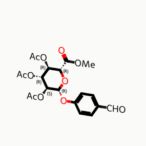 COC(=O)[C@@H]1O[C@H](Oc2ccc(C=O)cc2)[C@@H](OC(C)=O)[C@H](OC(C)=O)[C@H]1OC(C)=O